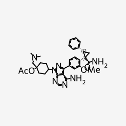 COc1cc(-c2nn(C3CCC(CN(C)C)(OC(C)=O)CC3)c3ncnc(N)c23)ccc1[C@@]1(C(N)=O)C[C@H]1c1ccccc1